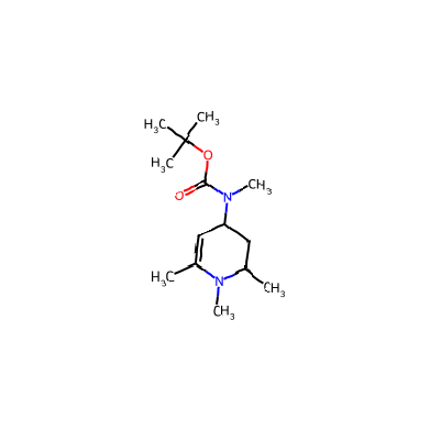 CC1=CC(N(C)C(=O)OC(C)(C)C)CC(C)N1C